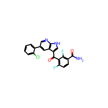 NC(=O)c1ccc(F)c(C(=O)c2c[nH]c3ncc(-c4ccccc4Cl)cc23)c1F